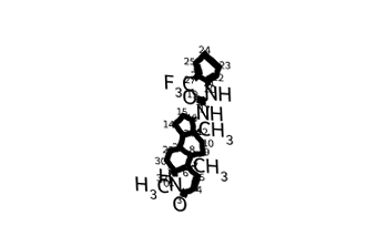 CN1C(=O)C=C[C@]2(C)C3CC[C@@]4(C)C(CC[C@@H]4NC(=O)Nc4ccccc4C(F)(F)F)C3CC[C@@H]12